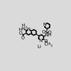 COc1ncc(-c2ccc3nc(N)c(C(=O)O)cc3c2)cc1NS(=O)(=O)c1cccnc1.[Li]